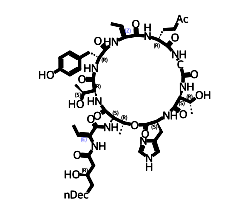 C/C=C1\NC(=O)[C@@H](Cc2ccc(O)cc2)NC(=O)[C@@H]([C@H](C)O)NC(=O)[C@@H](NC(=O)/C(=C\C)NC(=O)C[C@H](O)CCCCCCCCCCC)[C@@H](C)OC(=O)[C@H](Cc2c[nH]cn2)NC(=O)[C@H]([C@@H](C)O)NC(=O)CNC(=O)[C@@H](CCC(C)=O)NC1=O